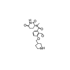 CN(C(=O)c1cccc(OCC2CCNCC2)c1C=O)C1CCC(=O)NC1=O